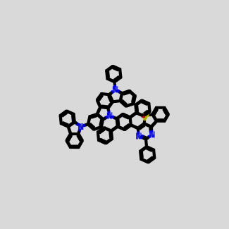 c1ccc(-c2nc(-c3cc(-c4ccccc4)c(-n4c5ccc(-n6c7ccccc7c7ccccc76)cc5c5ccc6c(c7ccccc7n6-c6ccccc6)c54)cc3-c3ccccc3)c3sc4ccccc4c3n2)cc1